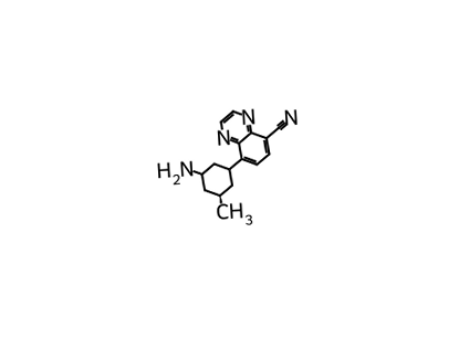 C[C@H]1CC(N)CC(c2ccc(C#N)c3nccnc23)C1